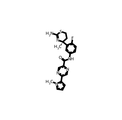 Cn1cccc1-c1cnc(C(=O)Nc2ccc(F)c([C@]3(C)CCSC(N)=N3)c2)cn1